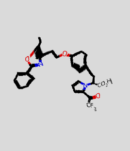 Cc1oc(-c2ccccc2)nc1CCOc1ccc(C[C@@H](C(=O)O)n2cccc2C(=O)C(F)(F)F)cc1